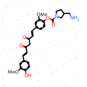 COc1cc(C=CC(=O)CC(=O)C=Cc2ccc(OC(=O)N3CCC(CN)C3)c(OC)c2)ccc1O